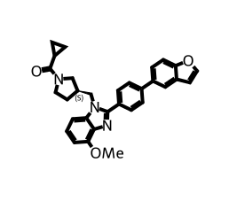 COc1cccc2c1nc(-c1ccc(-c3ccc4occc4c3)cc1)n2C[C@H]1CCN(C(=O)C2CC2)C1